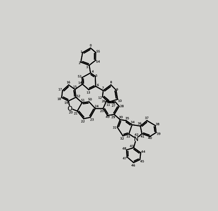 c1ccc(-c2cc(-c3ccccc3)cc(-c3cccc4oc5ccc(-c6cccc(-c7ccc8c(c7)c7ccccc7n8-c7ccccc7)c6)cc5c34)c2)cc1